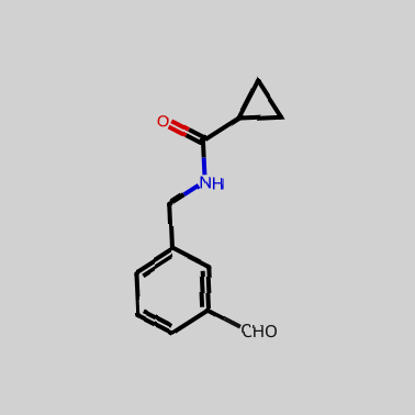 O=Cc1cccc(CNC(=O)C2CC2)c1